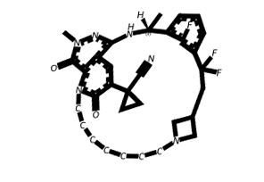 C[C@H]1Nc2nn(C)c(=O)c3c2cc(C2(C#N)CC2)c(=O)n3CCCCCCCN2CC(C2)CC(F)(F)c2cccc1c2F